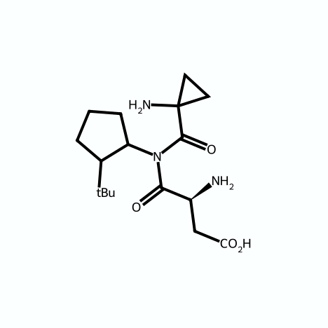 CC(C)(C)C1CCCC1N(C(=O)[C@@H](N)CC(=O)O)C(=O)C1(N)CC1